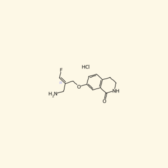 Cl.NC/C(=C/F)COc1ccc2c(c1)C(=O)NCC2